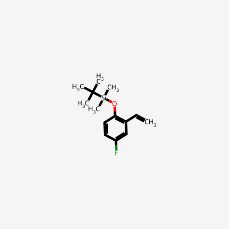 C=Cc1cc(F)ccc1O[Si](C)(C)C(C)(C)C